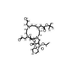 CCOP(=O)(OCC)C(CN1CCN(CC=O)CCN(CC=O)CCN(CC(=O)OC(C)(C)C)CC1)P(=O)(OCC)OCC